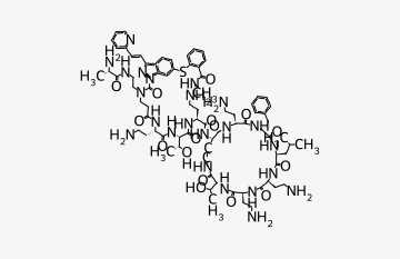 CNC(=O)c1ccccc1Sc1ccc2c(/C=C/c3ccccn3)nn(C(=O)N(CCNC(=O)[C@H](C)N)CCC(=O)N[C@@H](CCN)C(=O)N[C@H](C(=O)N[C@@H](CCN)C(=O)N[C@H]3CCNC(=O)[C@@H]([C@@H](C)O)NC(=O)[C@H](CCN)NC(=O)[C@H](CCN)NC(=O)[C@H](CC(C)C)NC(=O)[C@@H](Cc4ccccc4)NC(=O)[C@H](CCN)NC3=O)[C@@H](C)O)c2c1